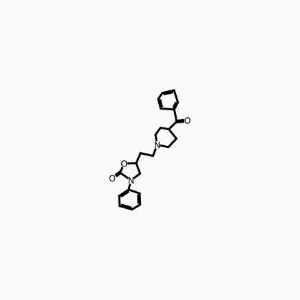 O=C(c1ccccc1)C1CCN(CCC2CN(c3ccccc3)C(=O)O2)CC1